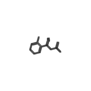 C=C(C)CC(=S)C1=CCCC=C1C